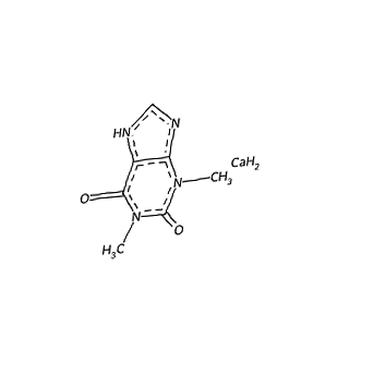 Cn1c(=O)c2[nH]cnc2n(C)c1=O.[CaH2]